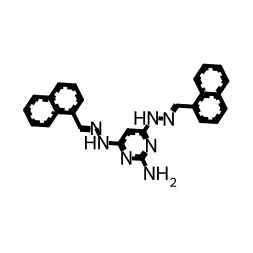 Nc1nc(NN=Cc2cccc3ccccc23)cc(NN=Cc2cccc3ccccc23)n1